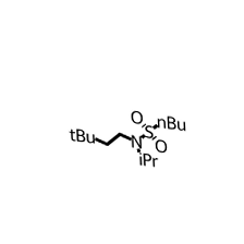 CCCCS(=O)(=O)N(CCC(C)(C)C)C(C)C